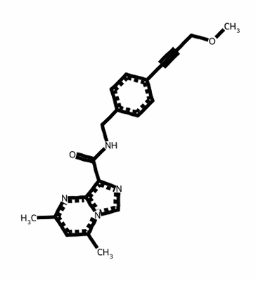 COCC#Cc1ccc(CNC(=O)c2ncn3c(C)cc(C)nc23)cc1